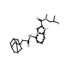 CC(C)CN(C)C(=O)c1cn2c(NC(=O)CC34CC5CC(CC(C5)C3)C4)cccc2n1